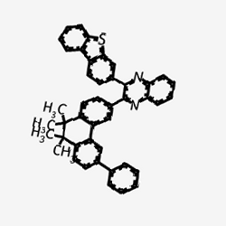 CC1(C)c2ccc(-c3ccccc3)cc2-c2cc(-c3nc4ccccc4nc3-c3ccc4c(c3)sc3ccccc34)ccc2C1(C)C